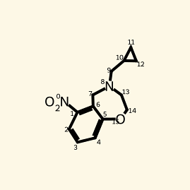 O=[N+]([O-])c1cccc2c1CN(CC1CC1)CCO2